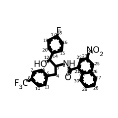 O=C(NC(Cc1ccc(C(F)(F)F)cc1)C(O)c1ccc(F)cc1)c1cc([N+](=O)[O-])cc2ccccc12